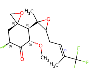 CO[C@@H]1C(=O)[C@@H](F)C[C@]2(CO2)[C@H]1C1(C)OC1C/C=C(\C)C(F)(F)F